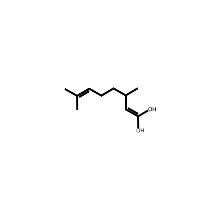 CC(C)=CCCC(C)C=C(O)O